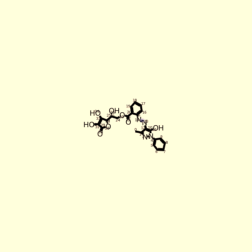 Cc1nn(-c2ccccc2)c(O)c1/N=N/c1ccccc1C(=O)OC[C@@H](O)[C@H]1OC(=O)C(O)=C1O